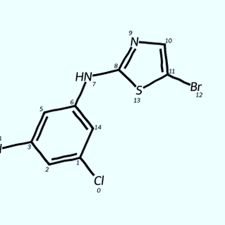 Clc1cc(Cl)cc(Nc2ncc(Br)s2)c1